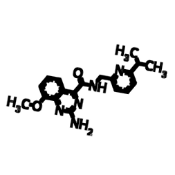 COc1cccc2c(C(=O)NCc3cccc(C(C)C)n3)nc(N)nc12